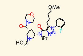 COCCCCc1c(C(=O)N(C(C)C)[C@H]2C[C@@H](C(=O)N3CCOCC3)CN(C(=O)O)C2)nnn1-c1ccccc1F